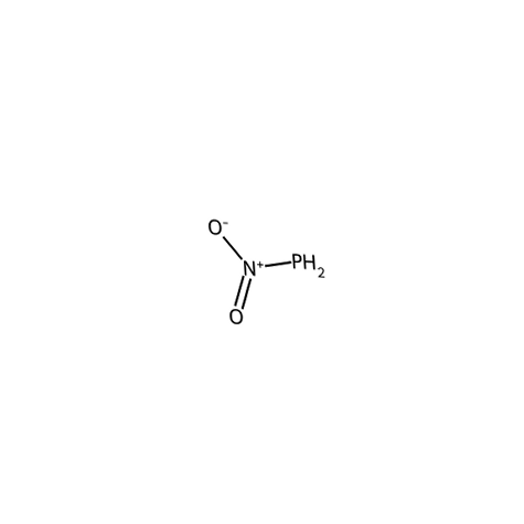 O=[N+]([O-])P